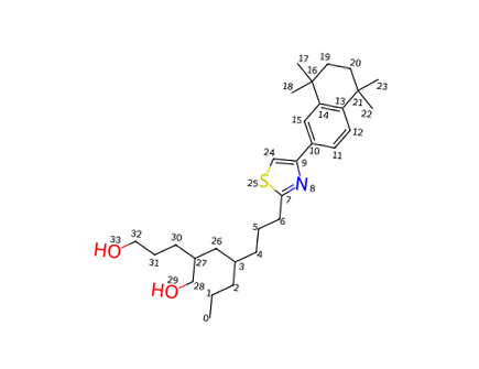 CCCC(CCCc1nc(-c2ccc3c(c2)C(C)(C)CCC3(C)C)cs1)CC(CO)CCCO